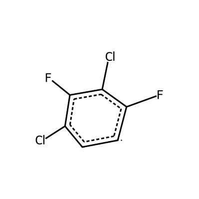 Fc1[c]cc(Cl)c(F)c1Cl